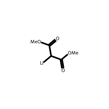 [Li][CH](C(=O)OC)C(=O)OC